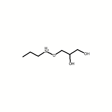 CCC[SiH2]OCC(O)CO